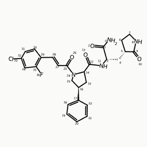 NC(=O)[C@H](C[C@@H]1CCNC1=O)NC(=O)C1C[C@@H](c2ccccc2)CN1C(=O)/C=C/c1ccc(Cl)cc1F